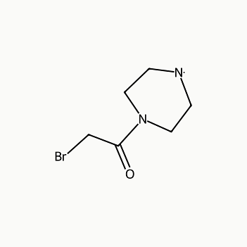 O=C(CBr)N1CC[N]CC1